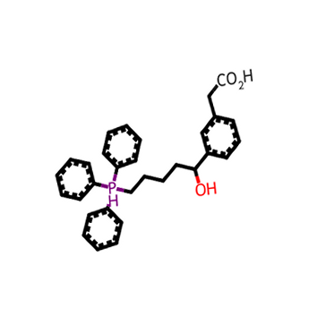 O=C(O)Cc1cccc(C(O)CCCC[PH](c2ccccc2)(c2ccccc2)c2ccccc2)c1